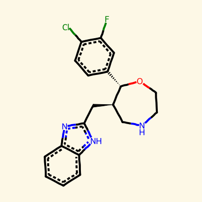 Fc1cc([C@@H]2OCCNC[C@H]2Cc2nc3ccccc3[nH]2)ccc1Cl